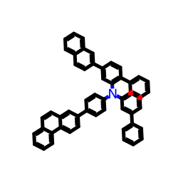 c1ccc(-c2cccc(N(c3ccc(-c4ccc5c(ccc6ccccc65)c4)cc3)c3cc(-c4ccc5ccccc5c4)ccc3-c3ccccc3)c2)cc1